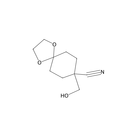 N#CC1(CO)CCC2(CC1)OCCO2